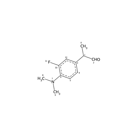 CC(C=O)c1ccc(N(C)C)c(F)c1